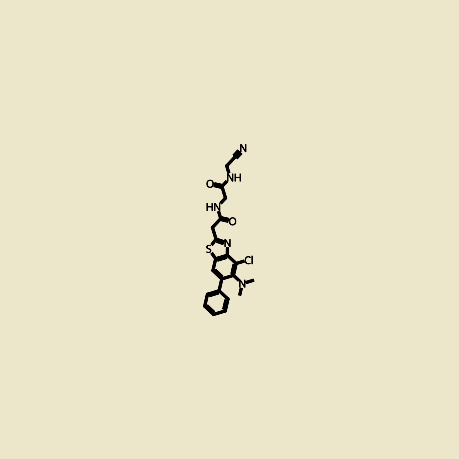 CN(C)c1c(-c2ccccc2)cc2sc(CC(=O)NCC(=O)NCC#N)nc2c1Cl